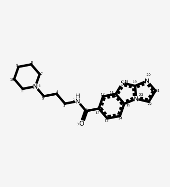 O=C(NCCCN1CCCCC1)c1ccc2c(c1)sc1nccn12